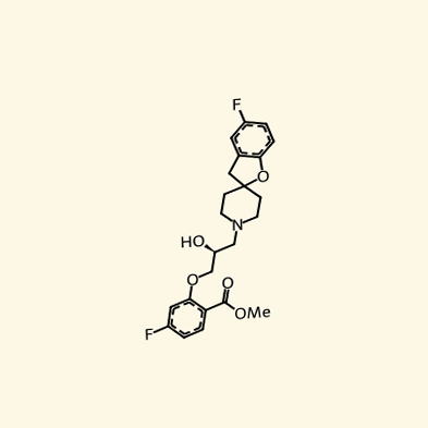 COC(=O)c1ccc(F)cc1OC[C@@H](O)CN1CCC2(CC1)Cc1cc(F)ccc1O2